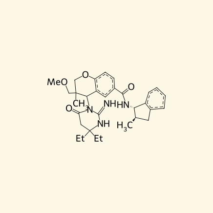 CCC1(CC)CC(=O)N(C2c3cc(C(=O)N[C@@H]4c5ccccc5C[C@H]4C)ccc3OCC2(C)COC)C(=N)N1